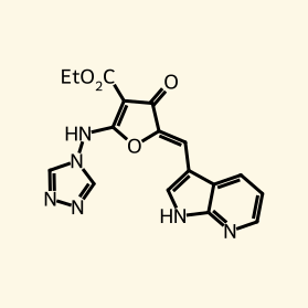 CCOC(=O)C1=C(Nn2cnnc2)OC(=Cc2c[nH]c3ncccc23)C1=O